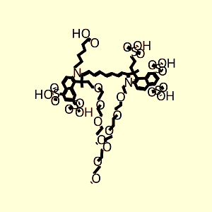 COCCOCCOCCOCCOCCOCC[N+]1=C(/C=C/C=C/C=C/C=C2/N(CCCCCC(=O)O)c3ccc4c(S(=O)(=O)O)cc(S(=O)(=O)O)cc4c3C2(C)CCOCCOCCOCCOC)C(C)(CCCS(=O)(=O)O)c2c1ccc1c(S(=O)(=O)O)cc(S(=O)(=O)O)cc21